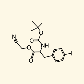 CC(C)(C)OC(=O)NC(Cc1ccc(I)cc1)C(=O)OCC#N